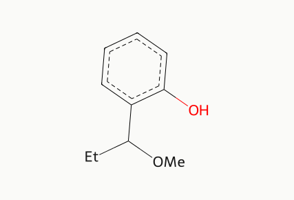 CCC(OC)c1ccccc1O